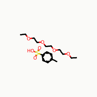 CCOCCOCCOCCOCC.Cc1ccc(S(=O)(=O)O)cc1